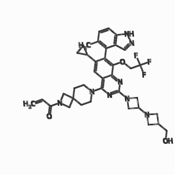 C=CC(=O)N1CC2(CCN(c3nc(N4CC(N5CC(CO)C5)C4)nc4c(OCC(F)(F)F)c(-c5c(C)ccc6[nH]ncc56)c(C5CC5)cc34)CC2)C1